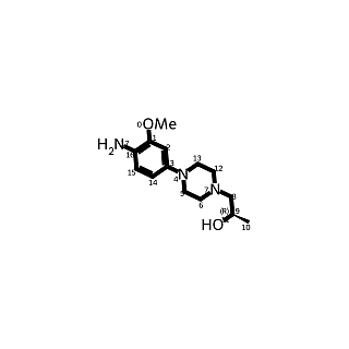 COc1cc(N2CCN(C[C@@H](C)O)CC2)ccc1N